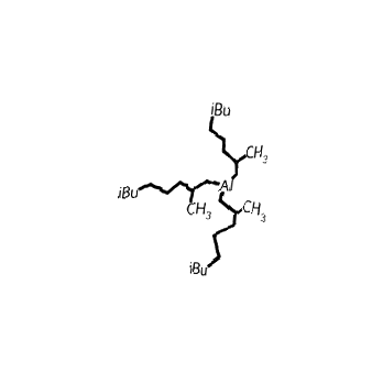 CCC(C)CCCC(C)[CH2][Al]([CH2]C(C)CCCC(C)CC)[CH2]C(C)CCCC(C)CC